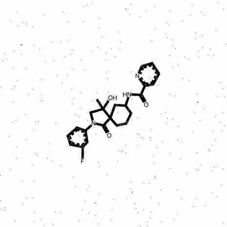 CC1(O)CN(c2cccc(F)c2)C(=O)C12CCCC(NC(=O)c1ccccn1)C2